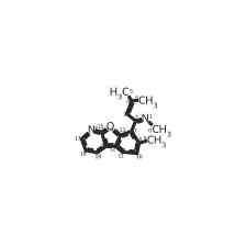 C/N=C(/C=C(C)C)c1c(C)ccc2c1oc1ncccc12